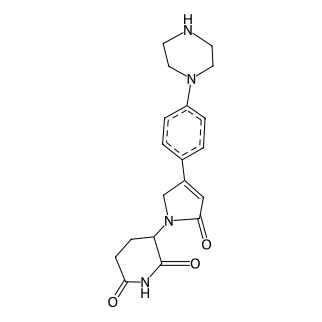 O=C1CCC(N2CC(c3ccc(N4CCNCC4)cc3)=CC2=O)C(=O)N1